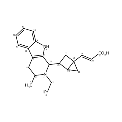 CC(C)CN1C(C)Cc2c([nH]c3ccccc23)C1C1CC2(/C=C/C(=O)O)CC12